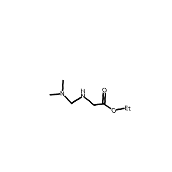 CCOC(=O)CNCN(C)C